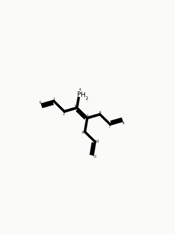 C=CCC(P)=C(CC=C)CC=C